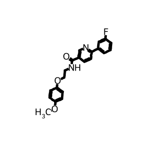 COc1ccc(OCCNC(=O)c2ccc(-c3cccc(F)c3)nc2)cc1